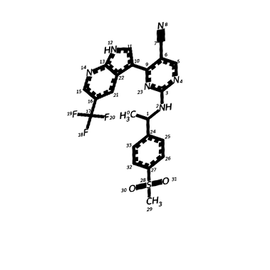 CC(Nc1ncc(C#N)c(-c2c[nH]c3ncc(C(F)(F)F)cc23)n1)c1ccc(S(C)(=O)=O)cc1